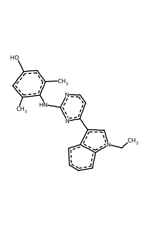 CCn1cc(-c2ccnc(Nc3c(C)cc(O)cc3C)n2)c2ccccc21